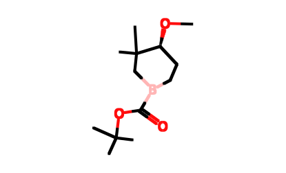 CO[C@H]1CCB(C(=O)OC(C)(C)C)CC1(C)C